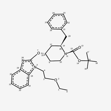 CCOCCn1c(O[C@H]2CCN(C(=O)OC(C)(C)C)[C@H](Cc3ccccc3)C2)nc2ccccc21